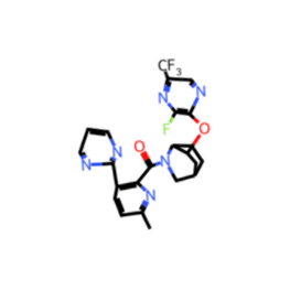 Cc1ccc(-c2ncccn2)c(C(=O)N2CC3CCC2C(Oc2ncc(C(F)(F)F)nc2F)C3)n1